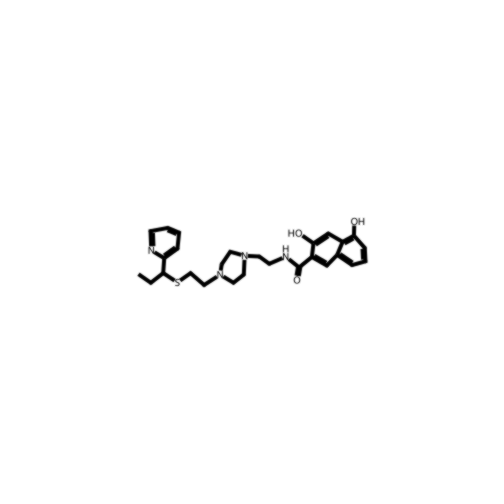 CCC(SCCN1CCN(CCNC(=O)c2cc3cccc(O)c3cc2O)CC1)c1ccccn1